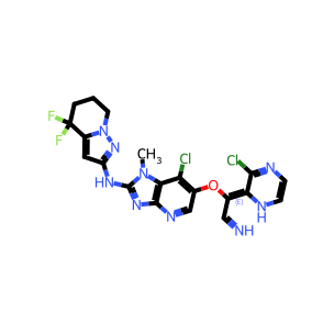 Cn1c(Nc2cc3n(n2)CCCC3(F)F)nc2ncc(O/C(C=N)=C3/NC=CN=C3Cl)c(Cl)c21